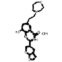 Cc1cc(CCN2CCCOCC2)cc2c(=O)[nH]c(-c3cnc4sccc4c3)nc12.Cl